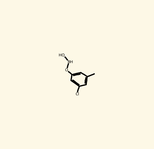 Cc1cc(Cl)cc(OBO)c1